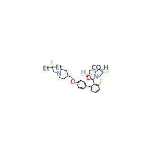 CCC(F)(CC)CN1CCC(COc2ccc(-c3cccc(F)c3C(=O)N3C[C@@H](F)C[C@@]3(C)C(=O)O)cc2)CC1